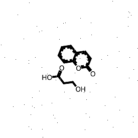 O=C(O)CCO.O=c1ccc2ccccc2o1